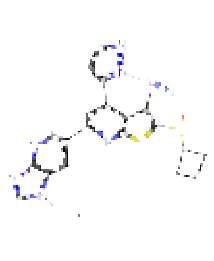 Cn1nccc1-c1cc(-c2cnc3ncn(C)c3c2)nc2sc([S+]([O-])C3CCC3)c(N)c12